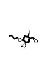 CCCCOc1cc(I)c(C=O)cc1OC